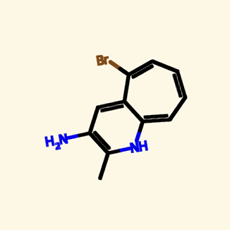 CC1=C(N)C=C2C(Br)=CC=CC=C2N1